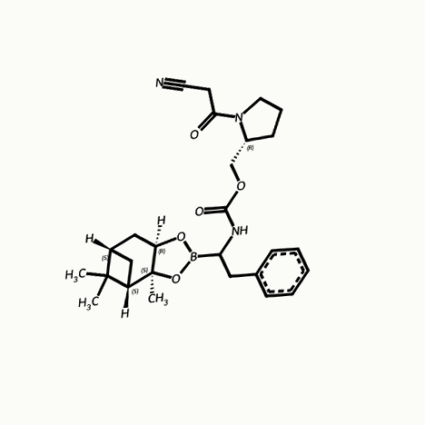 CC1(C)[C@@H]2C[C@H]3OB(C(Cc4ccccc4)NC(=O)OC[C@H]4CCCN4C(=O)CC#N)O[C@@]3(C)[C@H]1C2